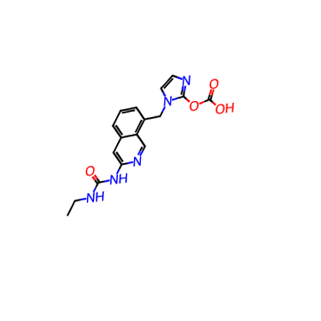 CCNC(=O)Nc1cc2cccc(Cn3ccnc3OC(=O)O)c2cn1